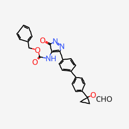 O=COC1(c2ccc(-c3ccc(C4=C(NC(=O)OCc5ccccc5)C(=O)N=N4)cc3)cc2)CC1